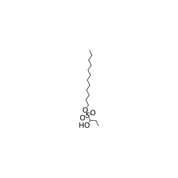 CCCCCCCCCCCCOS(=O)(=O)C(O)CC